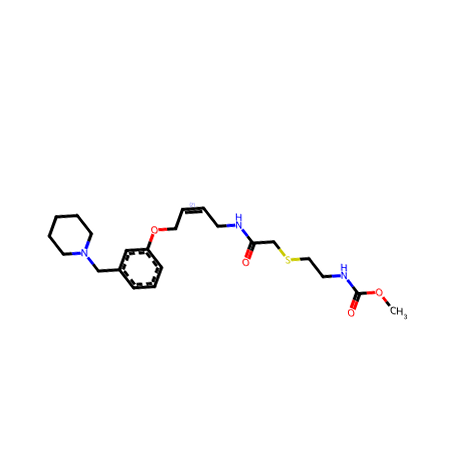 COC(=O)NCCSCC(=O)NC/C=C\COc1cccc(CN2CCCCC2)c1